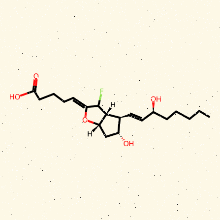 CCCCC[C@H](O)/C=C/[C@@H]1[C@H]2C(F)/C(=C/CCCC(=O)O)O[C@H]2C[C@H]1O